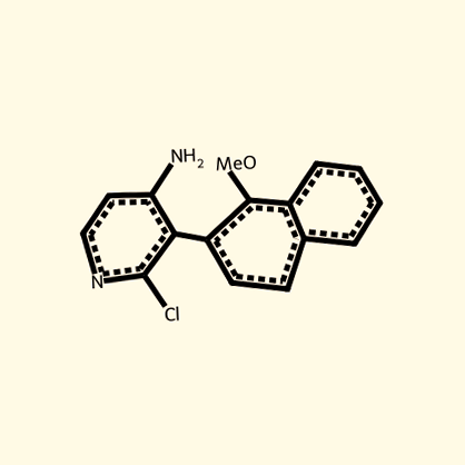 COc1c(-c2c(N)ccnc2Cl)ccc2ccccc12